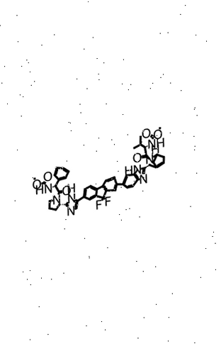 COC(=O)N[C@H](C(=O)N1[C@@H]2CC=C(C2)[C@H]1c1nc2ccc(-c3ccc4c(c3)C(F)(F)c3cc(-c5cnc([C@@H]6CCCN6C(=O)[C@H](NC(=O)OC)c6ccccc6)[nH]5)ccc3-4)cc2[nH]1)C(C)C